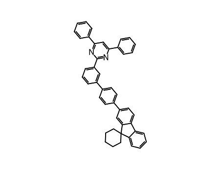 c1ccc(-c2cc(-c3ccccc3)nc(-c3cccc(-c4ccc(-c5ccc6c(c5)C5(CCCCC5)c5ccccc5-6)cc4)c3)n2)cc1